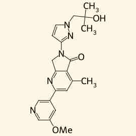 COc1cncc(-c2cc(C)c3c(n2)CN(c2ccn(CC(C)(C)O)n2)C3=O)c1